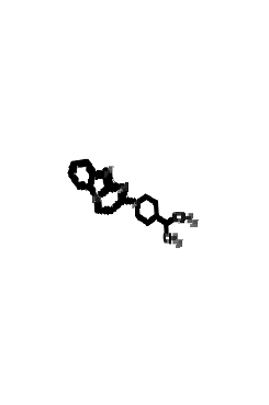 CC(C)C1CCN(c2ccn3c(n2)nc2ccccc23)CC1